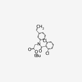 C=Cc1cccc(N(CC(=O)OC(C)(C)C)C(=O)c2c(Cl)cccc2Cl)c1